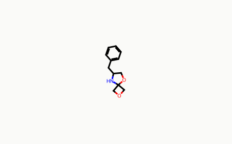 c1ccc(CC2COC3(COC3)N2)cc1